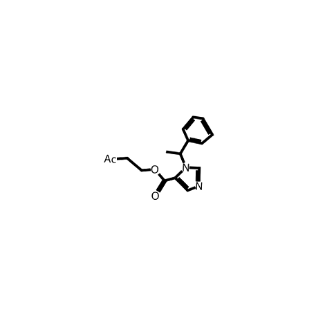 CC(=O)CCOC(=O)c1cncn1C(C)c1ccccc1